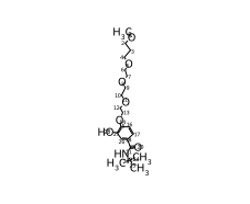 COCCCOCCOCCOCCOc1ccc(C(=O)NC(C)(C)C)cc1O